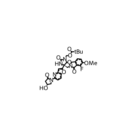 COc1ccc2c(c1F)C(=O)N(C[C@@]1(c3cc4nc(N5C[C@@H](O)CC5=O)ccc4o3)NC(=O)N(COC(=O)C(C)(C)C)C1=O)C2